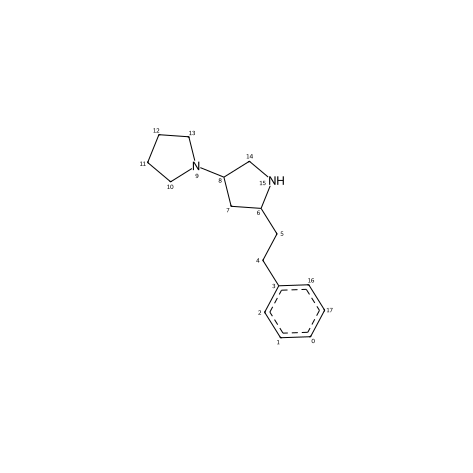 c1ccc(CCC2CC(N3CCCC3)CN2)cc1